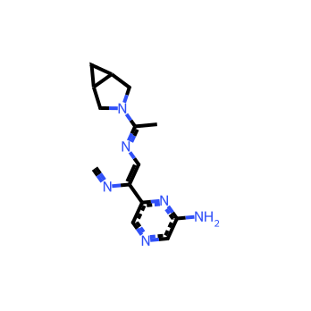 C=N/C(=C\N=C(/C)N1CC2CC2C1)c1cncc(N)n1